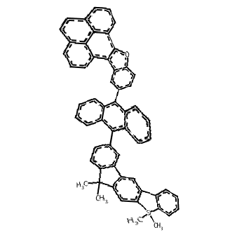 CC1(C)c2ccc(-c3c4ccccc4c(-c4ccc5oc6c7cccc8ccc9cccc(c6c5c4)c9c87)c4ccccc34)cc2-c2cc3c(cc21)[Si](C)(C)c1ccccc1-3